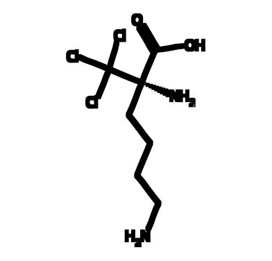 NCCCC[C@](N)(C(=O)O)C(Cl)(Cl)Cl